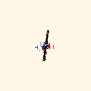 CCCCCCCCCCCCN[C@H](C(=O)O)C(CCCCCCCCCCCC)CC(N)=O